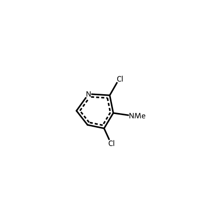 CNc1c(Cl)ccnc1Cl